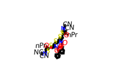 CCCOc1cc(N=C(C#N)C#N)sc1-c1cc2c(s1)c1sc3c4sc(-c5sc(N=C(C#N)C#N)cc5OCCC)cc4n(C(=O)OCc4ccccc4)c3c1n2C(=O)OCc1ccccc1